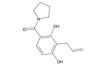 C=CCc1c(O)ccc(C(=O)N2CCCC2)c1O